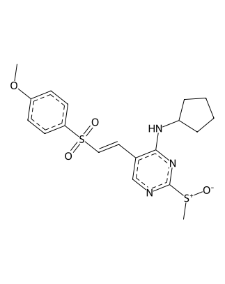 COc1ccc(S(=O)(=O)C=Cc2cnc([S+](C)[O-])nc2NC2CCCC2)cc1